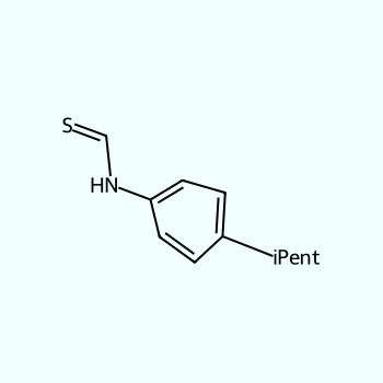 CCCC(C)c1ccc(NC=S)cc1